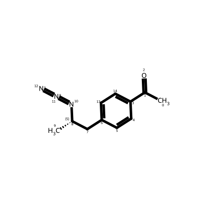 CC(=O)c1ccc(C[C@H](C)N=[N+]=[N-])cc1